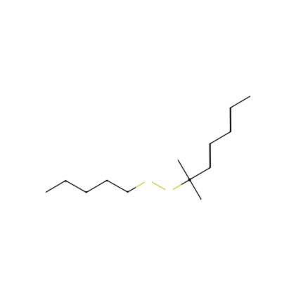 CCCCCSSC(C)(C)CCCCC